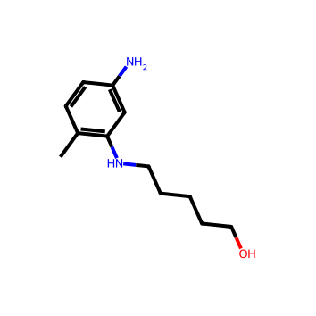 Cc1ccc(N)cc1NCCCCCO